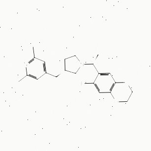 Cc1cc(C[C@H]2CCN([C@@H](C)c3cc4c(cc3F)OCCO4)C2)cc(C)n1